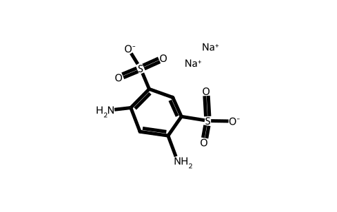 Nc1cc(N)c(S(=O)(=O)[O-])cc1S(=O)(=O)[O-].[Na+].[Na+]